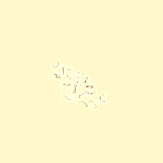 CCN1C(C(=O)Nc2ccccn2)=C(O)c2ccc3ccccc3c2S1(=O)=O